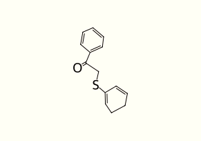 O=C(CSC1=CCCC=C1)c1ccccc1